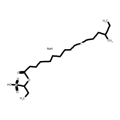 CCC(C)CCCCCCCCCCCCCC(=O)OC(CC)S(=O)(=O)O.[NaH]